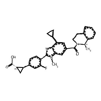 C[C@@H]1c2ccccc2CCN1C(=O)c1cc(C2CC2)c2nc(-c3ccc(C4C[C@@H]4C(=O)O)cc3F)n(C)c2c1